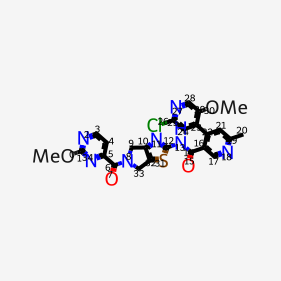 COc1nccc(C(=O)N2Cc3nc(NC(=O)c4cnc(C)cc4-c4cc(Cl)ncc4OC)sc3C2)n1